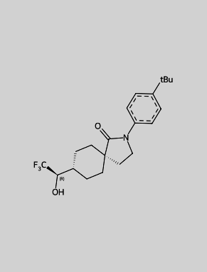 CC(C)(C)c1ccc(N2CC[C@]3(CC[C@@H]([C@@H](O)C(F)(F)F)CC3)C2=O)cc1